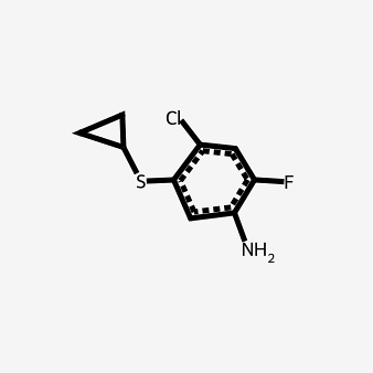 Nc1cc(SC2CC2)c(Cl)cc1F